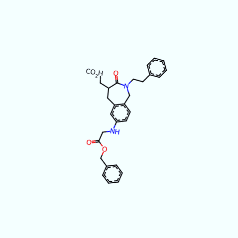 O=C(O)CC1Cc2cc(NCC(=O)OCc3ccccc3)ccc2CN(CCc2ccccc2)C1=O